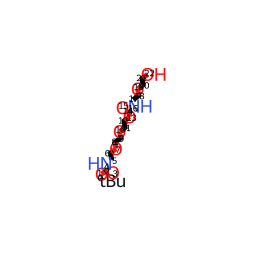 CC(C)(C)OC(=O)NCCOCCOCCOC(=O)NCCOCCO